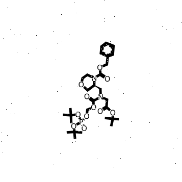 CC(C)(C)OC(=O)CN(C[C@H]1COCCN1C(=O)OCc1ccccc1)C(=O)OCOP(=O)(OC(C)(C)C)OC(C)(C)C